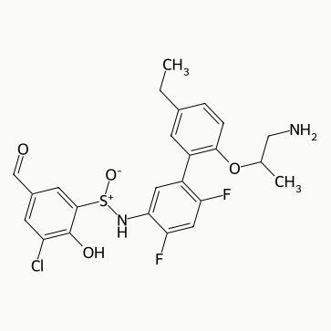 CCc1ccc(OC(C)CN)c(-c2cc(N[S+]([O-])c3cc(C=O)cc(Cl)c3O)c(F)cc2F)c1